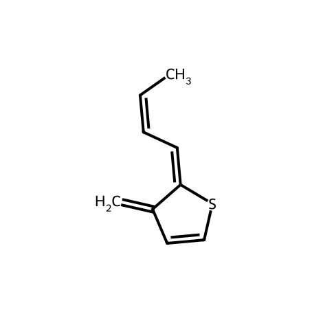 C=c1ccs/c1=C/C=C\C